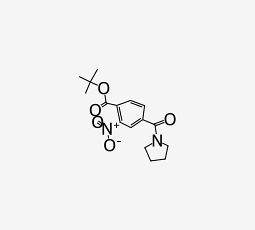 CC(C)(C)OC(=O)c1ccc(C(=O)N2CCCC2)cc1[N+](=O)[O-]